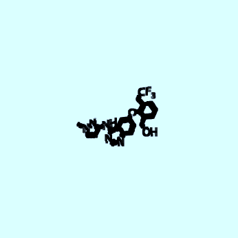 Cn1ccc(Nc2ncnc3ccc(Oc4c(CO)cccc4CC(F)(F)F)cc23)n1